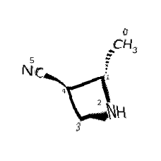 C[C@@H]1NC[C@H]1C#N